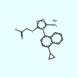 Nc1nnc(SCC(=O)[O-])n1-c1ccc(C2CC2)c2ccccc12.[Na+]